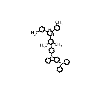 Cc1cccc(-c2cc(-c3cc(C)c(-c4ccc(-n5c6ccccc6c6cc(N(c7ccccc7)c7ccccc7)ccc65)cc4)c(C)c3)nc(-c3cccc(C)c3)n2)c1